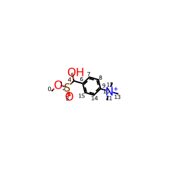 COS(=O)C(O)c1ccc([N+](C)(C)C)cc1